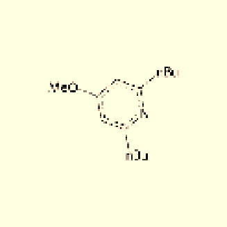 CCCCc1cc(OC)cc(CCCC)n1